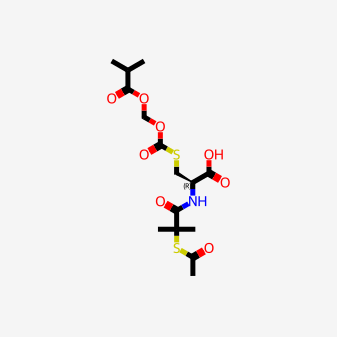 CC(=O)SC(C)(C)C(=O)N[C@@H](CSC(=O)OCOC(=O)C(C)C)C(=O)O